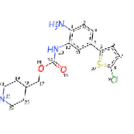 Nc1ccc(-c2ccc(Cl)s2)cc1NC(=O)OCC1CCNCC1